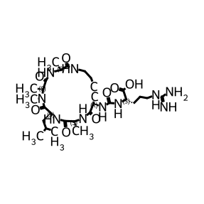 CC(C)C[C@@H]1NC(=O)[C@H](C)NC(=O)[C@H](NC(=O)N[C@@H](CCCNC(=N)N)C(=O)O)CCCCNC(=O)[C@H](C)NC(=O)[C@H](C)N(C)C1=O